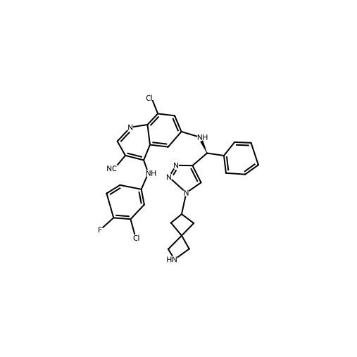 N#Cc1cnc2c(Cl)cc(N[C@@H](c3ccccc3)c3cn(C4CC5(CNC5)C4)nn3)cc2c1Nc1ccc(F)c(Cl)c1